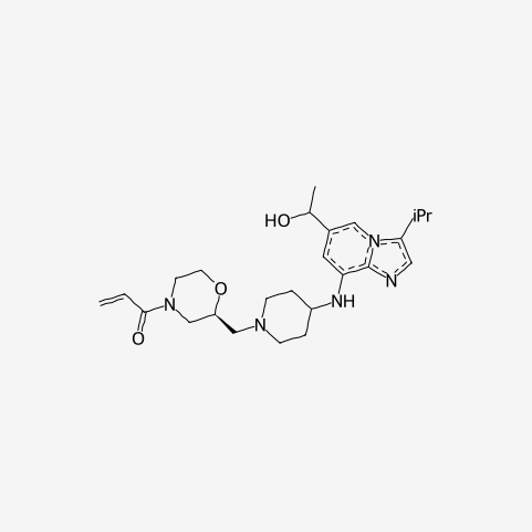 C=CC(=O)N1CCO[C@@H](CN2CCC(Nc3cc(C(C)O)cn4c(C(C)C)cnc34)CC2)C1